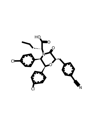 CCC[C@H](C(=O)O)N1C(=O)[C@H](Cc2ccc(C#N)cc2)O[C@@H](c2ccc(Cl)cc2)[C@H]1c1ccc(Cl)cc1